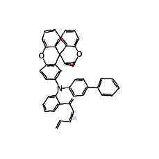 C=C/C=C\C(=C)c1ccccc1N(c1ccc(-c2ccccc2)cc1)c1ccc2c(c1)C1(c3ccccc3Oc3ccccc31)c1ccccc1O2